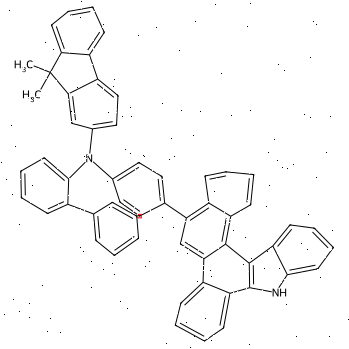 CC1(C)c2ccccc2-c2ccc(N(c3ccc(-c4cc5c6ccccc6c6[nH]c7ccccc7c6c5c5ccccc45)cc3)c3ccccc3-c3ccccc3)cc21